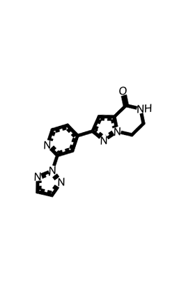 O=C1NCCn2nc(-c3ccnc(-n4nccn4)c3)cc21